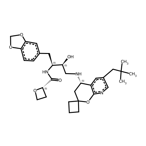 CC(C)(C)Cc1cnc2c(c1)[C@@H](NC[C@H](O)[C@H](Cc1ccc3c(c1)OCO3)NC(=O)[C@@H]1CCO1)CC1(CCC1)O2